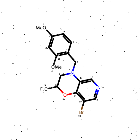 COc1ccc(CN2CC(C(F)(F)F)Oc3c(Br)cncc32)c(OC)c1